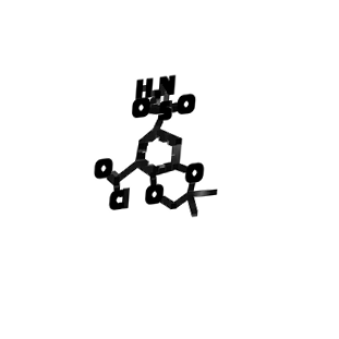 CC1(C)COc2c(cc(S(N)(=O)=O)cc2C(=O)Cl)O1